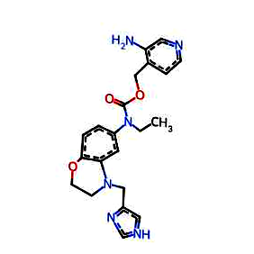 CCN(C(=O)OCc1ccncc1N)c1ccc2c(c1)N(Cc1c[nH]cn1)CCO2